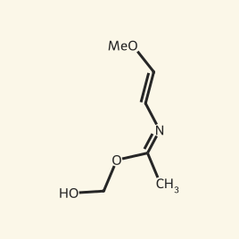 CO/C=C/N=C(/C)OCO